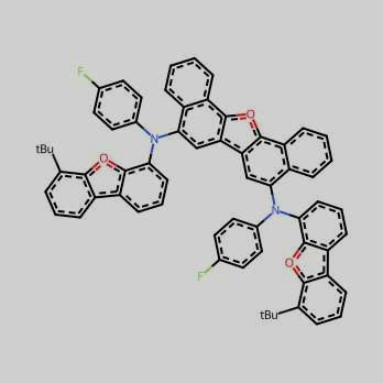 CC(C)(C)c1cccc2c1oc1c(N(c3ccc(F)cc3)c3cc4c5cc(N(c6ccc(F)cc6)c6cccc7c6oc6c(C(C)(C)C)cccc67)c6ccccc6c5oc4c4ccccc34)cccc12